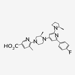 Cc1cc(C(=O)O)cnc1N1CCN(c2cc(-c3ccc(F)cc3)nc(N3CCC[C@H]3C)c2)[C@H](C)C1